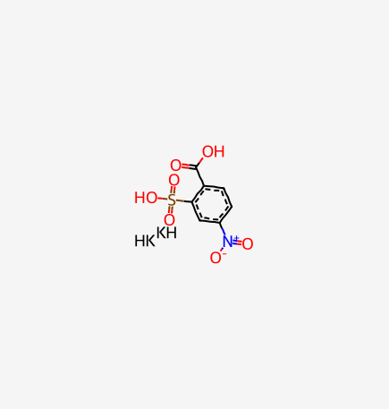 O=C(O)c1ccc([N+](=O)[O-])cc1S(=O)(=O)O.[KH].[KH]